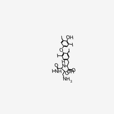 NCC(=O)C(NC(Cc1cc(I)c(Oc2cc(I)c(O)c(I)c2)c(I)c1)C(=O)O)C(=O)NI